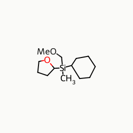 COC[Si](C)(C1CCCCC1)C1CCCO1